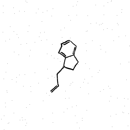 C=CC[C]1CCc2ccccc21